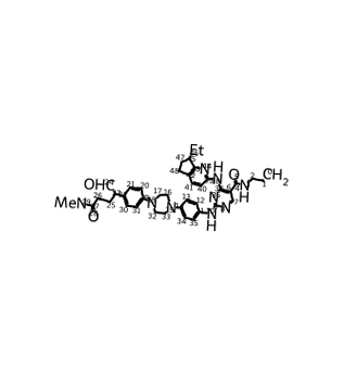 C=CCNC(=O)c1cnc(Nc2ccc(N3CCN(c4ccc(C(C=O)CCC(=O)NC)cc4)CC3)cc2)nc1Nc1ccc2c(n1)C(CC)CC2